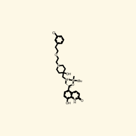 CC(C)(C)[Si](C)(C)O[C@@H](CNCC1(O)CCN(CCOCCc2cccc(Cl)c2)CC1)c1ccc(O)c2[nH]c(=O)ccc12